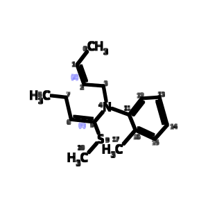 C/C=C\CN(/C(=C\CC)SC)c1ccccc1C